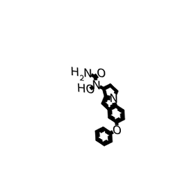 NC(=O)N(O)C1CCn2c1cc1cc(Oc3ccccc3)ccc12